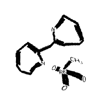 [CH3][Re](=[O])(=[O])=[O].c1ccc(-c2ccccn2)nc1